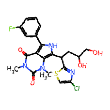 Cn1c(=O)c2c(-c3cccc(F)c3)[nH]c(C(CC(O)CO)c3nc(Cl)cs3)c2n(C)c1=O